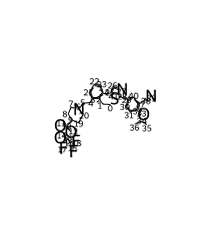 CCc1c(CCN2CCC(C(=O)OC(=O)C(F)(F)F)CC2)cccc1-c1cnc(-c2ccc(OC(C)C)c(C#N)c2)s1